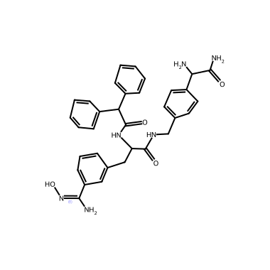 NC(=O)C(N)c1ccc(CNC(=O)C(Cc2cccc(/C(N)=N\O)c2)NC(=O)C(c2ccccc2)c2ccccc2)cc1